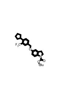 CC(C)(C)OC(=O)N1CCc2cc(OCc3ccc(C4CCCC4)c(C(F)(F)F)c3)ccc21